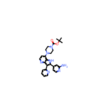 CC(C)(C)OC(=O)N1CCN(c2ccnc3c(-c4ccccn4)c(-c4ccnc(N)c4)[nH]c23)CC1